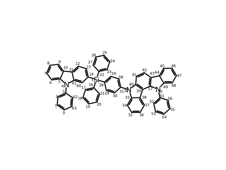 c1ccc(-n2c3ccccc3c3ccc([Si](c4ccccc4)(c4ccccc4)c4ccc(-n5c6ccccc6c6c5ccc5c7ccccc7n(-c7ccccc7)c56)cc4)cc32)cc1